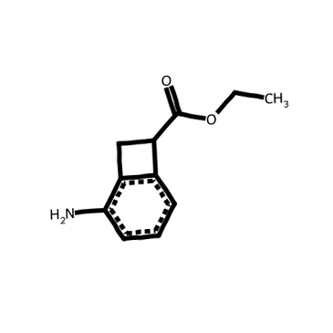 CCOC(=O)C1Cc2c(N)cccc21